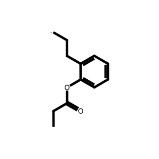 [CH2]CCc1ccccc1OC(=O)CC